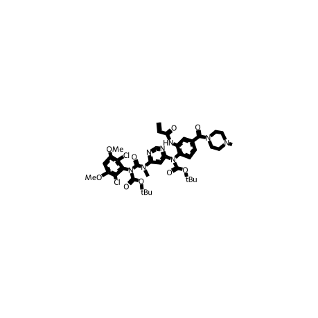 C=CC(=O)Nc1cc(C(=O)N2CCN(C)CC2)ccc1N(C(=O)OC(C)(C)C)c1cc(N(C)C(=O)N(C(=O)OC(C)(C)C)c2c(Cl)c(OC)cc(OC)c2Cl)ncn1